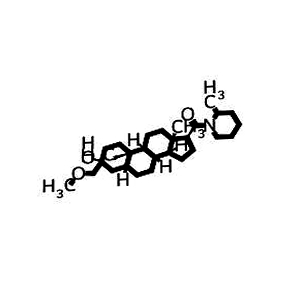 CC[C@]12CC[C@](O)(COC)C[C@H]1CC[C@H]1[C@@H]3CC[C@H](C(=O)N4CCCCC4C)[C@@]3(C)CC[C@@H]12